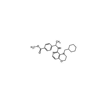 COC(=O)c1ccc(C(C)Nc2nccc3c2N(CC2CCCCC2)CCO3)cc1